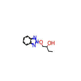 CCC(O)COn1nc2ccccc2n1